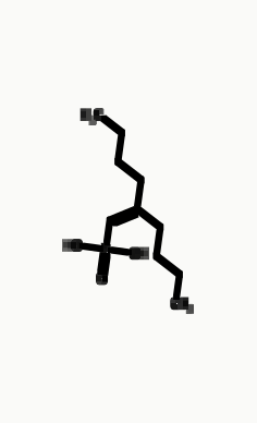 CCCCC(=CP(=O)(O)O)CCCC